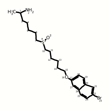 CC(N)CCCCC[S+]([O-])CCCCCCOc1ccc2cc(Br)ccc2c1